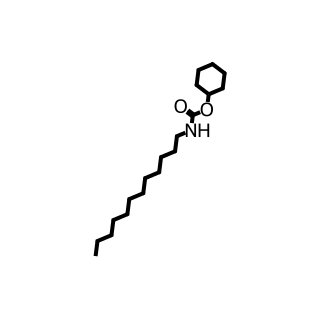 CCCCCCCCCCCCNC(=O)OC1CCCCC1